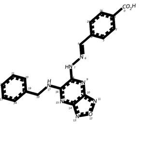 O=C(O)c1ccc(C=NNc2nc3nonc3nc2NCc2ccccc2)cc1